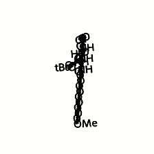 COCCOCCOCCOCCOCCOCCOCCOCCOCCOCC(=O)NCCCC[C@H](NC(=O)CNC(=O)CNC(=O)CCCN1C(=O)C=CC1=O)C(=O)NCCCC(=O)OC(C)(C)C